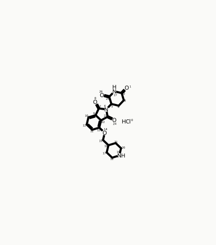 Cl.O=C1CCC(N2C(=O)c3cccc(OCC4CCNCC4)c3C2=O)C(=O)N1